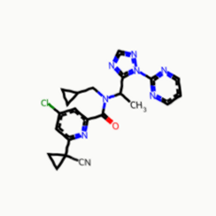 CC(c1ncnn1-c1ncccn1)N(CC1CC1)C(=O)c1cc(Cl)cc(C2(C#N)CC2)n1